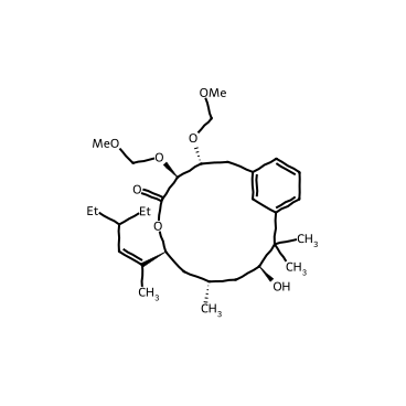 CCC(/C=C(/C)[C@@H]1C[C@@H](C)C[C@H](O)C(C)(C)c2cccc(c2)C[C@@H](OCOC)[C@H](OCOC)C(=O)O1)CC